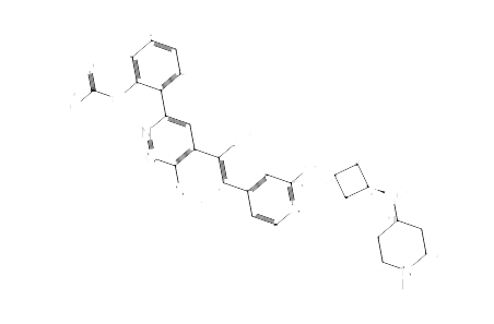 Nc1nnc(-c2ccccc2OC(=O)C(F)(F)F)cc1C(F)=Cc1ccnc(O[C@H]2C[C@H](OC3CCNCC3)C2)c1